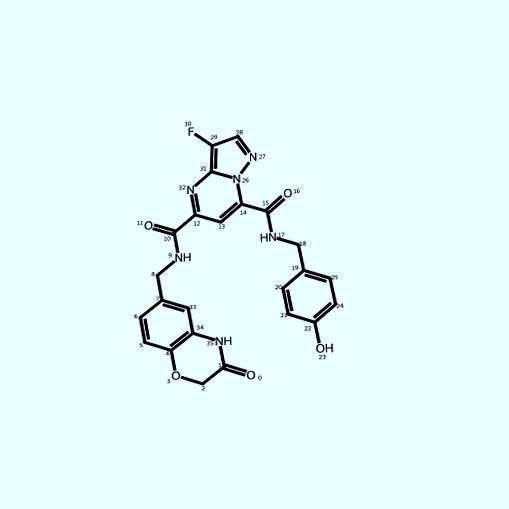 O=C1COc2ccc(CNC(=O)c3cc(C(=O)NCc4ccc(O)cc4)n4ncc(F)c4n3)cc2N1